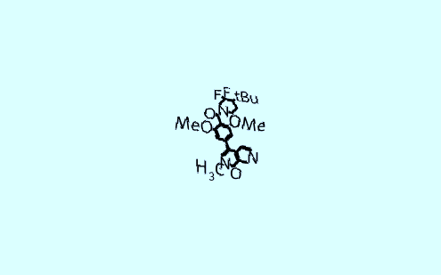 COc1cc(-c2cn(C)c(=O)c3cnccc23)cc(OC)c1C(=O)N1CCC(C(C)(C)C)C(F)(F)C1